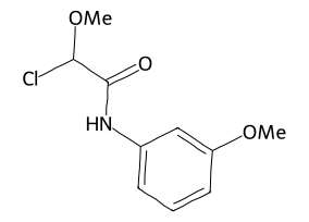 COc1cccc(NC(=O)C(Cl)OC)c1